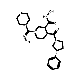 N#CN=C(N1CCOCC1)N1CCC(C(=O)N2CC[C@H](c3ccccc3)C2)C(C(=O)NO)C1